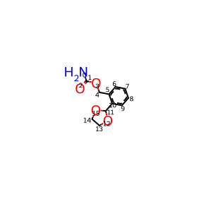 NC(=O)OCc1ccccc1C1OCCO1